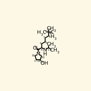 CC(C)NC(CCCCC(C)(C)C)C(=O)N1CCC(O)C1